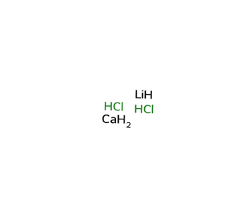 Cl.Cl.[CaH2].[LiH]